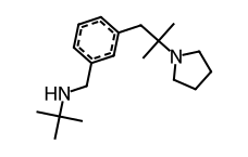 CC(C)(C)NCc1cccc(CC(C)(C)N2CCCC2)c1